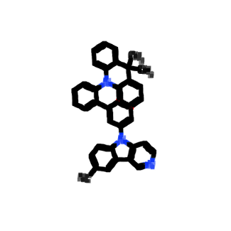 CC1(C)c2ccccc2N(c2ccccc2-c2cccc(-n3c4ccncc4c4cc(C#N)ccc43)c2)c2ccccc21